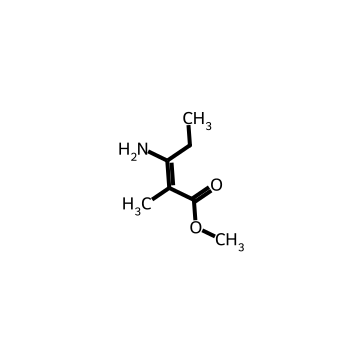 CC/C(N)=C(/C)C(=O)OC